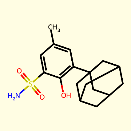 Cc1cc(C23CC4CC(CC(C4)C2)C3)c(O)c(S(N)(=O)=O)c1